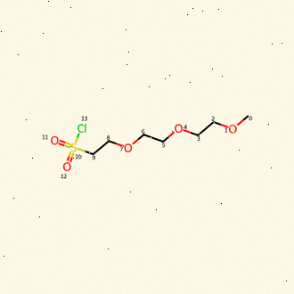 COCCOCCOCCS(=O)(=O)Cl